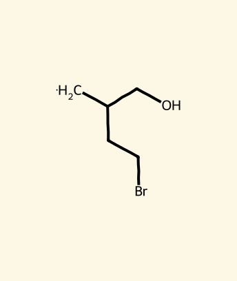 [CH2]C(CO)CCBr